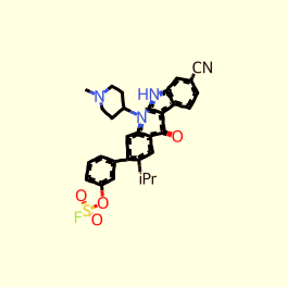 CC(C)c1cc2c(=O)c3c4ccc(C#N)cc4[nH]c3n(C3CCN(C)CC3)c2cc1-c1cccc(OS(=O)(=O)F)c1